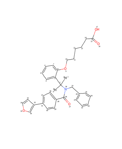 [2H]C([2H])(c1ccccc1OCCCCCC(=O)O)N(Cc1ccccc1)C(=O)c1ccc(-c2ccoc2)cc1